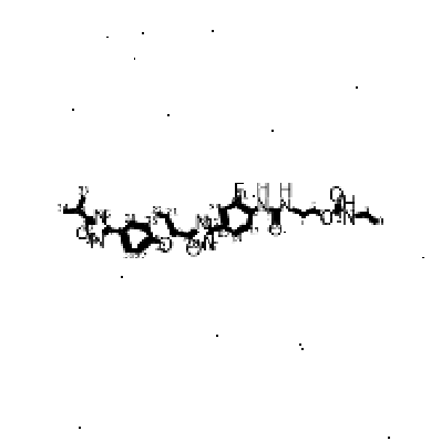 CCNC(=O)OCCNC(=O)Nc1ccc(-c2noc(C(CC)Oc3ccc(-c4noc(C(C)C)n4)cc3)n2)cc1F